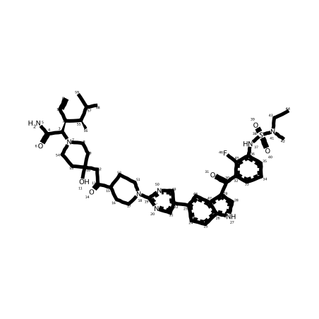 C=C[C@H](C(C(N)=O)N1CCC(O)(CC(=O)C2CCN(c3ncc(-c4ccc5[nH]cc(C(=O)c6cccc(NS(=O)(=O)N(C)CC)c6F)c5c4)cn3)CC2)CC1)[C@H](C)C(C)C